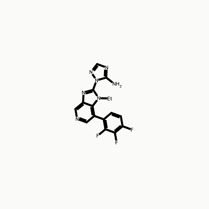 CCn1c(-n2ncnc2N)nc2cncc(-c3ccc(F)c(F)c3F)c21